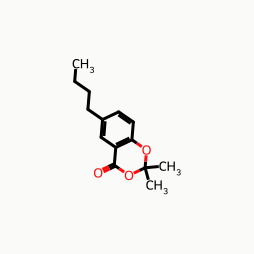 CCCCc1ccc2c(c1)C(=O)OC(C)(C)O2